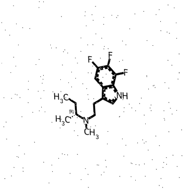 CC[C@@H](C)N(C)CCc1c[nH]c2c(F)c(F)c(F)cc12